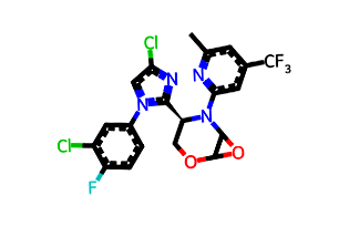 Cc1cc(C(F)(F)F)cc(N2C3OC3OC[C@H]2c2nc(Cl)cn2-c2ccc(F)c(Cl)c2)n1